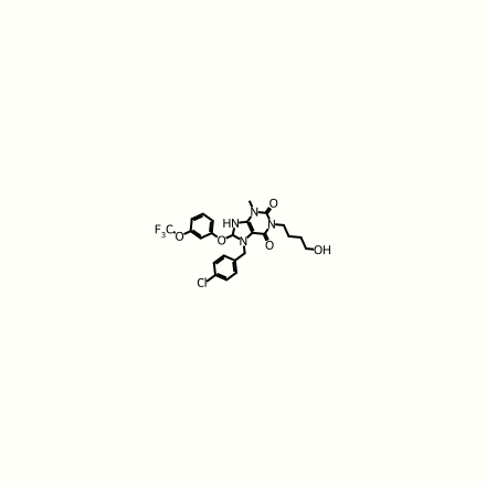 Cn1c2c(c(=O)n(CCCCO)c1=O)N(Cc1ccc(Cl)cc1)C(Oc1cccc(OC(F)(F)F)c1)N2